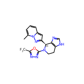 Cc1cccc2cc([C@H]3c4nc[nH]c4CCN3c3nnc(C(F)(F)F)o3)nn12